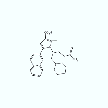 Cc1c(C(=O)O)cc(-c2ccc3ccccc3c2)n1C(CCC(N)=O)CC1CCCCC1